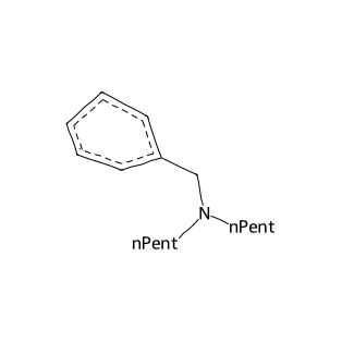 CCCCCN(CCCCC)Cc1ccccc1